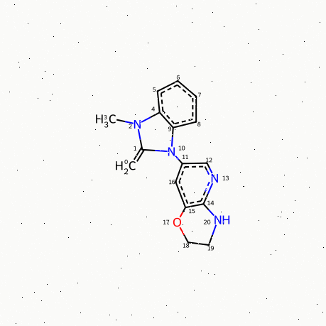 C=C1N(C)c2ccccc2N1c1cnc2c(c1)OCCN2